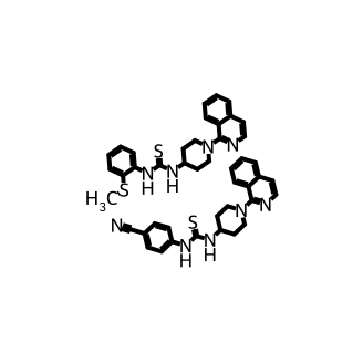 CSc1ccccc1NC(=S)NC1CCN(c2nccc3ccccc23)CC1.N#Cc1ccc(NC(=S)NC2CCN(c3nccc4ccccc34)CC2)cc1